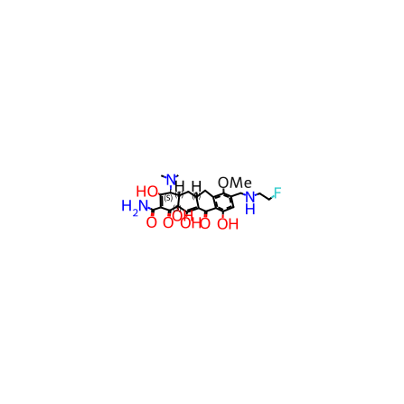 COc1c(CNCCF)cc(O)c2c1C[C@H]1C[C@H]3[C@H](N(C)C)C(O)=C(C(N)=O)C(=O)[C@@]3(O)C(O)=C1C2=O